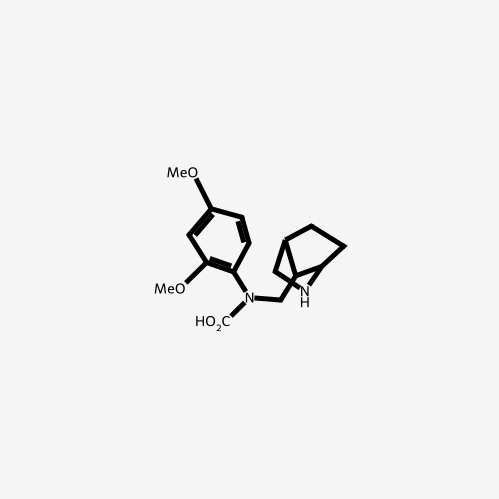 COc1ccc(N(CC2C3CCC2NC3)C(=O)O)c(OC)c1